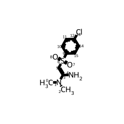 CN(C)/C(N)=C/S(=O)(=O)c1ccc(Cl)cc1